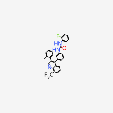 Cc1ccccc1-c1cnc2c(C(F)(F)F)cccc2c1-c1cccc(NC(=O)Nc2ccccc2F)c1